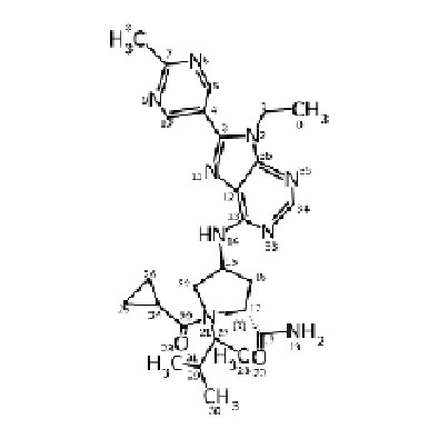 CCn1c(-c2cnc(C)nc2)nc2c(NC3C[C@H](C(N)=O)[N+](C(=O)C4CC4)(C(C)C(C)C)C3)ncnc21